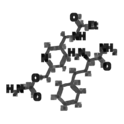 CCC(=O)NCc1ccc(COC(N)=O)nc1.NC(=O)[C@H](N)CCc1ccccc1